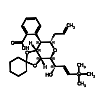 C=CC[C@@H]1O[C@@H]([C@@H](O)C=C[Si](C)(C)C)[C@@H]2OC3(CCCCC3)O[C@@H]2[C@H]1c1ccccc1C(=O)O